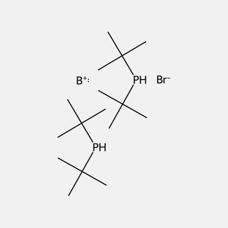 CC(C)(C)PC(C)(C)C.CC(C)(C)PC(C)(C)C.[B+].[Br-]